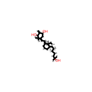 C=C1[C@H](O)C/C(=C\C=C2/CCC[C@]3(C)[C@@H]([C@H](C)CCCC(C)(C)O)CC[C@@H]23)C(C)(C)[C@H]1O